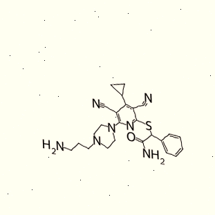 N#Cc1c(SC(C(N)=O)c2ccccc2)nc(N2CCN(CCCN)CC2)c(C#N)c1C1CC1